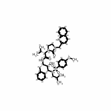 COc1ccc(S(=O)(=O)N(CC(C)C)C[C@@H](O)[C@H](Cc2ccccc2)NC(=O)[C@H](C(C)C)N2CCN(Cc3ccc4ccccc4n3)C2=O)cc1